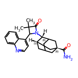 CC1(C)C(=O)N([C@@H]2C3CC4C[C@H]2C[C@@](C(N)=O)(C4)C3)C1c1ccnc2ccccc12